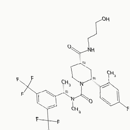 Cc1cc(F)ccc1[C@H]1C[C@@H](C(=O)NCCCO)CCN1C(=O)N(C)[C@@H](C)c1cc(C(F)(F)F)cc(C(F)(F)F)c1